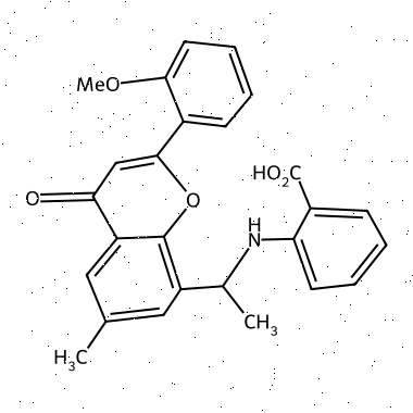 COc1ccccc1-c1cc(=O)c2cc(C)cc(C(C)Nc3ccccc3C(=O)O)c2o1